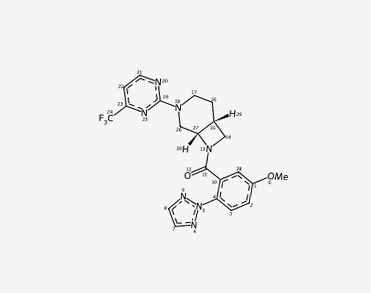 COc1ccc(-n2nccn2)c(C(=O)N2C[C@H]3CCN(c4nccc(C(F)(F)F)n4)C[C@H]32)c1